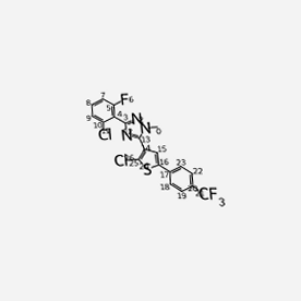 Cn1nc(-c2c(F)cccc2Cl)nc1-c1cc(-c2ccc(C(F)(F)F)cc2)sc1Cl